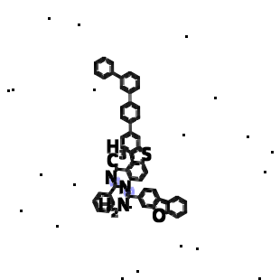 CC(/N=C(\N=C(/N)c1ccc2c(c1)oc1ccccc12)c1ccccc1)c1cccc2sc3cc(-c4ccc(-c5cccc(-c6ccccc6)c5)cc4)ccc3c12